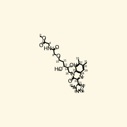 COC(=O)CNC(=O)COCC[C@@H](O)[C@@H](O)Cn1c(=O)c(-c2nnnn2C)nc2cc(C)c(C)cc21